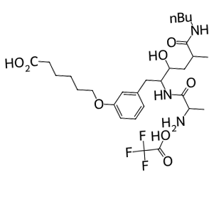 CCCCNC(=O)C(C)CC(O)C(Cc1cccc(OCCCCCC(=O)O)c1)NC(=O)C(C)N.O=C(O)C(F)(F)F